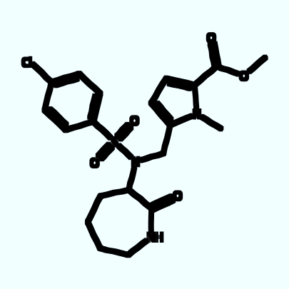 COC(=O)c1ccc(CN(C2CCCCNC2=O)S(=O)(=O)c2ccc(Cl)cc2)n1C